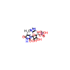 Cn1ccnc1.O=c1ccn([C@@H]2O[C@H](COP(=O)(O)O)[C@@H](O)[C@H]2O)c(=O)[nH]1